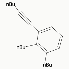 CCCCC#Cc1cccc(CCCC)c1CCCC